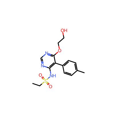 CCS(=O)(=O)Nc1ncnc(OCCO)c1-c1ccc(C)cc1